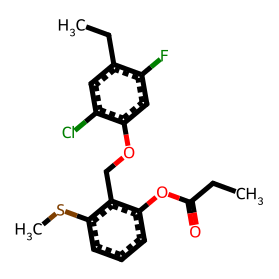 CCC(=O)Oc1cccc(SC)c1COc1cc(F)c(CC)cc1Cl